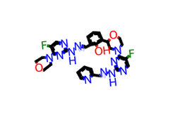 Oc1c(/C=N/Nc2ncc(F)c(N3CCOCC3)n2)cccc1C1CN(c2nc(N/N=C/c3ccccn3)ncc2F)CCO1